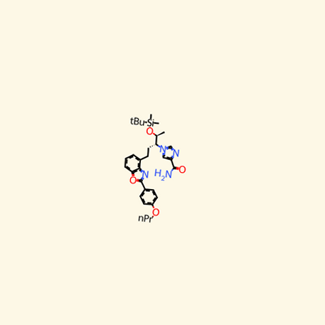 CCCOc1ccc(-c2nc3c(CC[C@H]([C@H](C)O[Si](C)(C)C(C)(C)C)n4cnc(C(N)=O)c4)cccc3o2)cc1